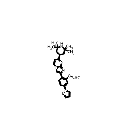 CC1(C)CC(c2ccn3cc(-c4ccc(-n5cccn5)cc4OC=O)nc3n2)CC(C)(C)N1